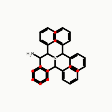 NC(c1ccccc1)C(c1ccccc1)N(C(c1ccccc1)c1ccccc1)C(c1ccccc1)c1ccccc1